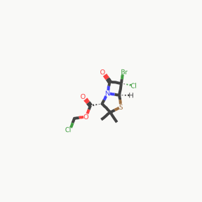 CC1(C)S[C@H]2N(C(=O)[C@@]2(Cl)Br)[C@H]1C(=O)OCCl